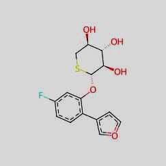 O[C@@H]1[C@@H](O)[C@H](Oc2cc(F)ccc2-c2ccoc2)SC[C@H]1O